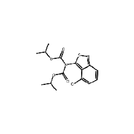 CC(C)OC(=O)N(C(=O)OC(C)C)c1snc2cccc(Cl)c12